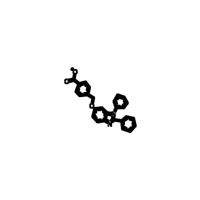 COC(=O)c1ccc(COc2ccc3nc(-c4ccccc4)n(-c4ccccc4)c3c2)cc1